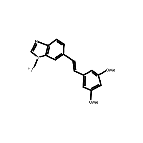 COc1cc(C=Cc2ccc3ncn(C)c3c2)cc(OC)c1